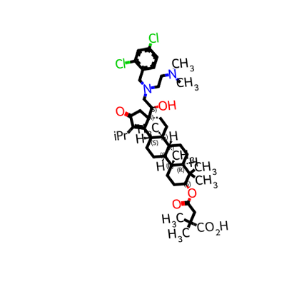 CC(C)C1=C2[C@H]3CC[C@H]4[C@@H](CC[C@H]5C(C)(C)[C@@H](OC(=O)CC(C)(C)C(=O)O)CC[C@]45C)[C@]3(C)CC[C@@]2([C@H](O)CN(CCN(C)C)Cc2ccc(Cl)cc2Cl)CC1=O